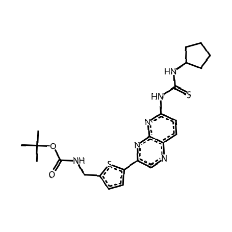 CC(C)(C)OC(=O)NCc1ccc(-c2cnc3ccc(NC(=S)NC4CCCC4)nc3n2)s1